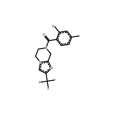 Cc1ccc(C(=O)N2CCn3cc(C(F)(F)F)nc3C2)c(Cl)c1